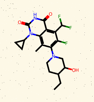 CCC1CCN(c2c(F)c(C(F)F)c3c(=O)[nH]c(=O)n(C4CC4)c3c2C)CC1O